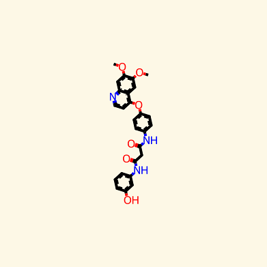 COc1cc2nccc(Oc3ccc(NC(=O)CC(=O)Nc4cccc(O)c4)cc3)c2cc1OC